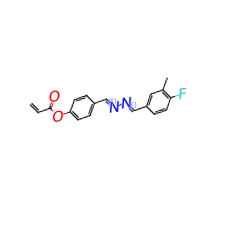 C=CC(=O)Oc1ccc(/C=N/N=C/c2ccc(F)c(C)c2)cc1